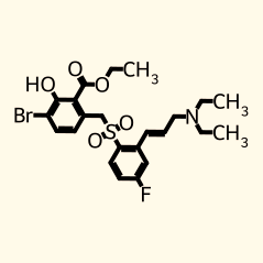 CCOC(=O)c1c(CS(=O)(=O)c2ccc(F)cc2C=CCN(CC)CC)ccc(Br)c1O